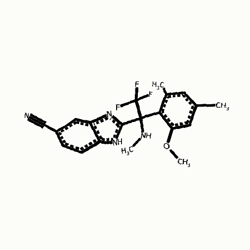 CNC(c1nc2cc(C#N)ccc2[nH]1)(c1c(C)cc(C)cc1OC)C(F)(F)F